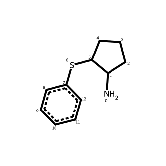 NC1CCCC1Sc1ccccc1